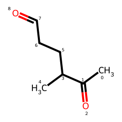 CC(=O)C(C)CCC=O